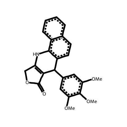 COc1cc(C2C3=C(COC3=O)Nc3c2ccc2ccccc32)cc(OC)c1OC